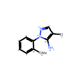 [CH2]Cc1cnn(-c2ccccc2OC)c1N